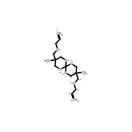 C=CCOCC1(C)COC2(OC1)OCC(C)(COCC=C)CO2